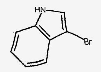 Brc1c[nH]c2[c]cccc12